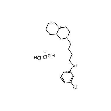 Cl.Cl.Cl.Clc1cccc(NCCCCN2CCN3CCCCC3C2)c1